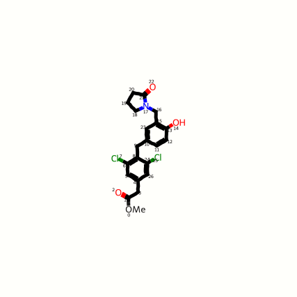 COC(=O)Cc1cc(Cl)c(Cc2ccc(O)c(CN3CCCC3=O)c2)c(Cl)c1